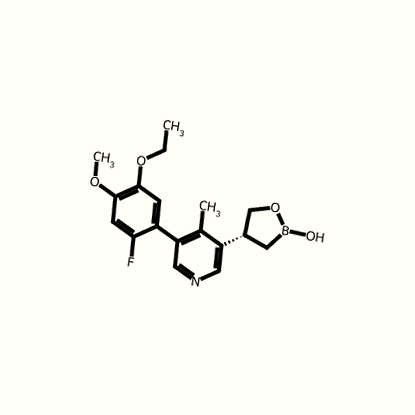 CCOc1cc(-c2cncc([C@@H]3COB(O)C3)c2C)c(F)cc1OC